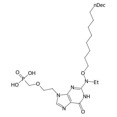 CCCCCCCCCCCCCCCCCCON(CC)c1nc2c(ncn2CCOCP(=O)(O)O)c(=O)[nH]1